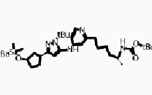 C[C@H](CCCCc1cc(Nc2cc([C@H]3CC[C@@H](O[Si](C)(C)C(C)(C)C)C3)nn2C(C)(C)C)ccn1)NC(=O)OC(C)(C)C